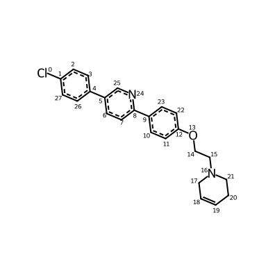 Clc1ccc(-c2ccc(-c3ccc(OCCN4CC=CCC4)cc3)nc2)cc1